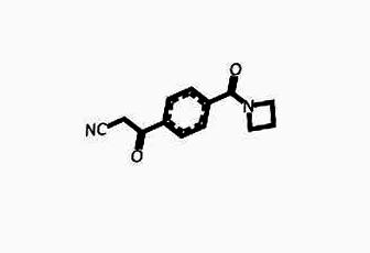 N#CCC(=O)c1ccc(C(=O)N2CCC2)cc1